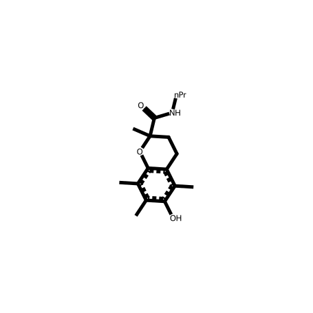 CCCNC(=O)C1(C)CCc2c(C)c(O)c(C)c(C)c2O1